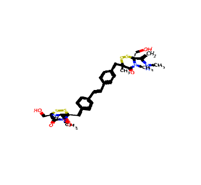 C=C(NC)[C@]1(CO)SS[C@@](C)(Cc2ccc(/C=C/c3ccc(C[C@@]45SS[C@@](CO)(C(=O)N4C)N(C)C5=O)cc3)cc2)C(=O)N1C